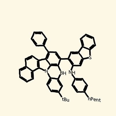 CCCCCc1ccc(Nc2cc3sc4ccccc4c3cc2-c2cc(-c3ccccc3)c3c4ccc5ccccc5c4n4c3c2Bc2cc(C(C)(C)C)ccc2-4)cc1